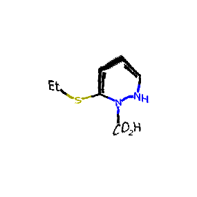 CCSC1=CC=CNN1C(=O)O